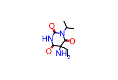 CCC1(N)C(=O)NC(=O)N(C(C)C)C1=O